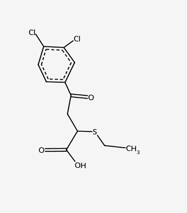 CCSC(CC(=O)c1ccc(Cl)c(Cl)c1)C(=O)O